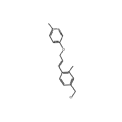 Cc1ccc(OC/C=C/c2ccc(CCl)cc2C)cc1